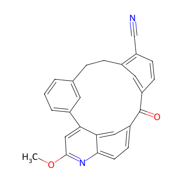 COc1cc2c3cc(ccc3n1)C(=O)c1ccc(C#N)c(c1)CCc1cccc-2c1